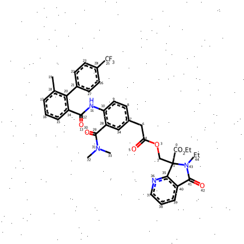 CCOC(=O)C1(COC(=O)Cc2ccc(NC(=O)c3cccc(C)c3-c3ccc(C(F)(F)F)cc3)c(C(=O)N(C)C)c2)c2ncccc2C(=O)N1CC